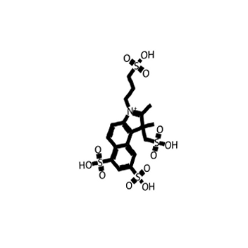 CC1=[N+](CCCS(=O)(=O)O)c2ccc3c(S(=O)(=O)O)cc(S(=O)(=O)O)cc3c2C1(C)CS(=O)(=O)O